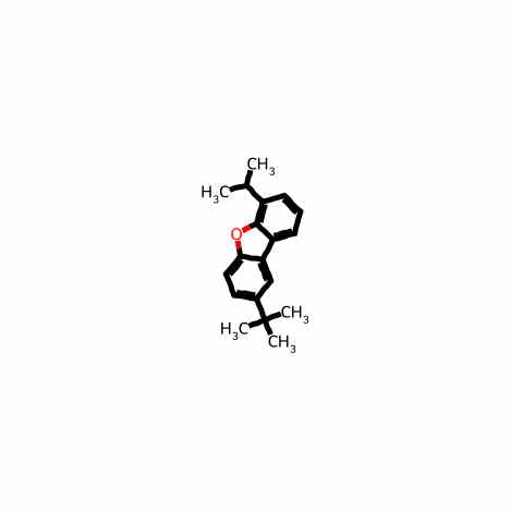 CC(C)c1cccc2c1oc1ccc(C(C)(C)C)cc12